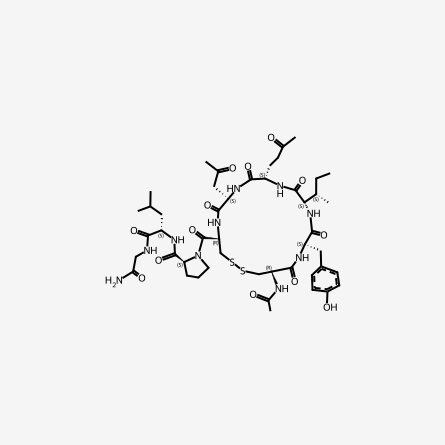 CC[C@H](C)[C@@H]1NC(=O)[C@H](Cc2ccc(O)cc2)NC(=O)[C@@H](NC(C)=O)CSSC[C@@H](C(=O)N2CCC[C@H]2C(=O)N[C@@H](CC(C)C)C(=O)NCC(N)=O)NC(=O)[C@H](CC(C)=O)NC(=O)[C@H](CCC(C)=O)NC1=O